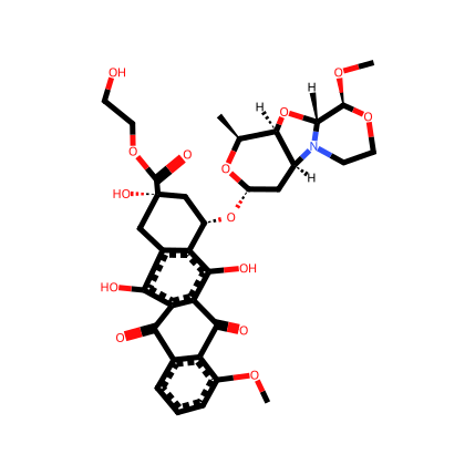 COc1cccc2c1C(=O)c1c(O)c3c(c(O)c1C2=O)C[C@@](O)(C(=O)OCCO)C[C@@H]3O[C@H]1C[C@H]2[C@H](O[C@@H]3[C@@H](OC)OCCN32)[C@H](C)O1